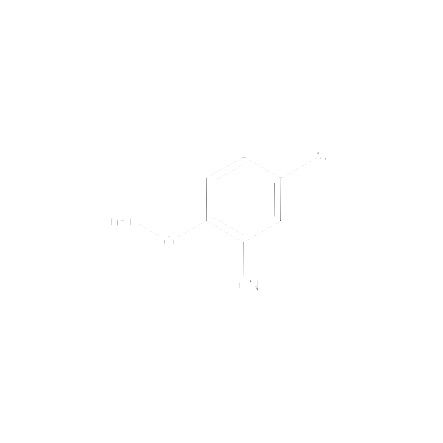 CCCOc1ccc(C(C)=O)cc1C#N